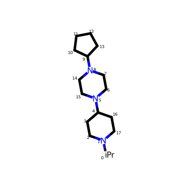 CC(C)N1CCC(N2CCN(C3CCCC3)CC2)CC1